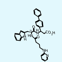 O=C(O)CC(NC(=O)[C@H](Cc1cc2ccccc2[nH]1)NC(=O)CCCNc1ccccn1)c1ccc(-c2ccccc2)cc1